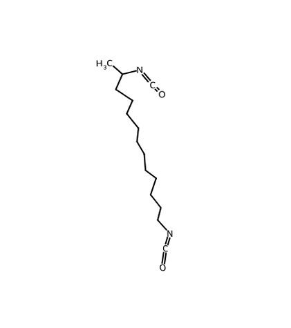 CC(CCCCCCCCCCCN=C=O)N=C=O